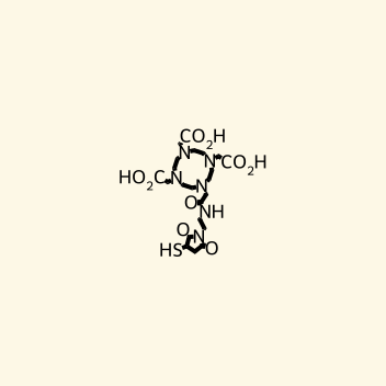 O=C(O)CN1CCN(CC(=O)O)CCN(CC(=O)NCCN2C(=O)CC(S)C2=O)CCN(CC(=O)O)CC1